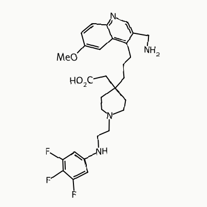 COc1ccc2ncc(CN)c(CCCC3(CC(=O)O)CCN(CCNc4cc(F)c(F)c(F)c4)CC3)c2c1